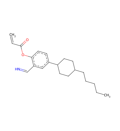 C=CC(=O)Oc1ccc(C2CCC(CCCCC)CC2)cc1C=N